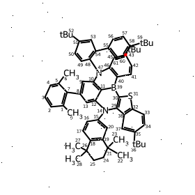 Cc1cccc(C)c1-c1cc2c3c(c1)N(c1ccc4c(c1)C(C)(C)CCC4(C)C)c1c(sc4ccc(C(C)(C)C)cc14)B3c1ccc(C(C)(C)C)cc1N2c1ccc(C(C)(C)C)cc1-c1ccc(C(C)(C)C)cc1